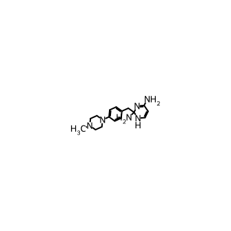 CN1CCN(c2ccc(CC3(N)N=C(N)C=CN3)cc2)CC1